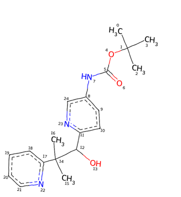 CC(C)(C)OC(=O)Nc1ccc(C(O)C(C)(C)c2ccccn2)nc1